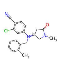 Cc1ccccc1CN(c1ccc(C#N)c(Cl)c1)[C@H]1CC(=O)N(C)C1